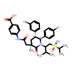 CC(C)C(CS(=N)(=O)C(C)C)N1C(=O)[C@@](C)(CC(=O)Nc2ccc(C(=O)O)cc2)C[C@H](c2cccc(Cl)c2)[C@H]1c1ccc(Cl)cc1